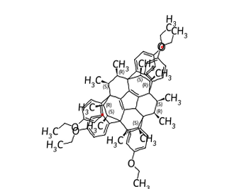 CCOc1ccc(C23C4=C5C6C7=C4C(c4ccc(OCC)cc4)([C@H](C)[C@@H]2C)[C@@H](C)[C@@H](C)C7(c2ccc(OCC)cc2)[C@@H](C)[C@@H](C)C6(c2ccc(OCC)cc2)[C@@H](C)[C@@H](C)C5(c2ccc(OCC)cc2)[C@@H](C)[C@H]3C)cc1